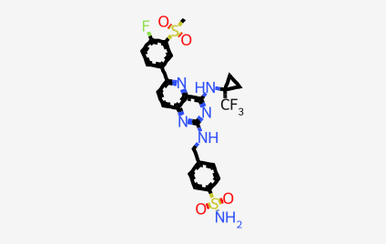 CS(=O)(=O)c1cc(-c2ccc3nc(NCc4ccc(S(N)(=O)=O)cc4)nc(NC4(C(F)(F)F)CC4)c3n2)ccc1F